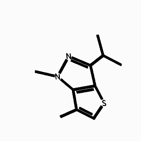 Cc1csc2c(C(C)C)nn(C)c12